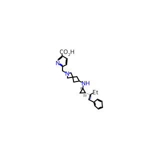 CC/C(=C\c1ccccc1)[C@@H]1C[C@H]1NC1CC2(C1)CN(Cc1ccc(C(=O)O)cn1)C2